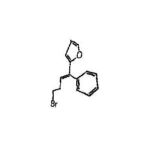 BrCC/C=C(\c1ccccc1)c1ccco1